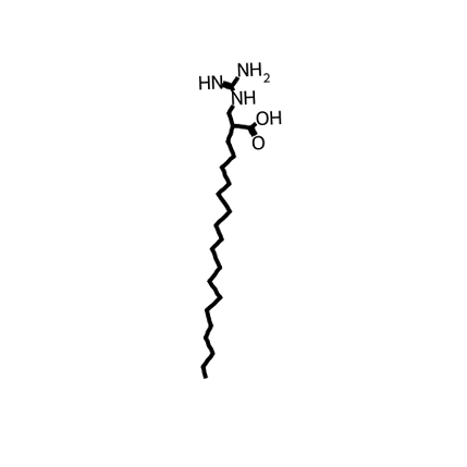 CCCCCCCCCCCCCCCCCCC(CNC(=N)N)C(=O)O